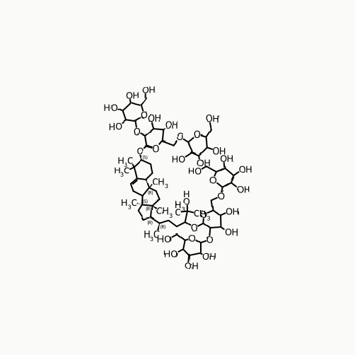 C[C@H](CCC(OC1OC(COC2OC(CO)C(O)C(O)C2O)C(O)C(O)C1OC1OC(CO)C(O)C(O)C1O)C(C)(C)O)[C@H]1CC[C@@]2(C)C3CC=C4C(CC[C@H](OC5OC(COC6OC(CO)C(O)C(O)C6O)C(O)C(O)C5OC5OC(CO)C(O)C(O)C5O)C4(C)C)[C@]3(C)CC[C@]12C